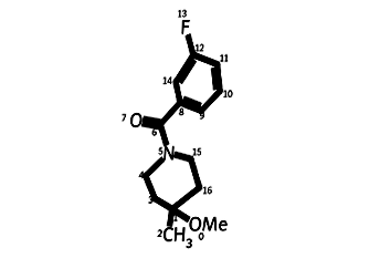 COC1(C)CCN(C(=O)c2cccc(F)c2)CC1